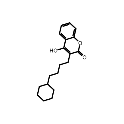 O=c1oc2ccccc2c(O)c1CCCCC1CCCCC1